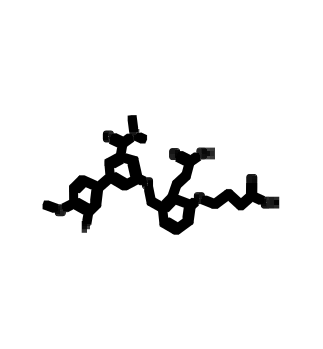 COc1ccc(-c2cc(OCc3cccc(OCCCC(=O)O)c3CCC(=O)O)cc(C(=O)N(C)C)c2)cc1F